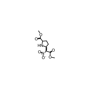 COC(=O)/C(=C1\CCC(C(=O)OC)N1)[N+](=O)[O-]